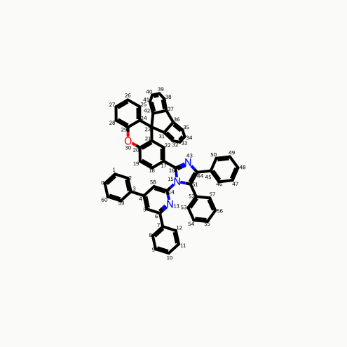 c1ccc(-c2cc(-c3ccccc3)nc(-n3c(-c4ccc5c(c4)C4(c6ccccc6O5)c5ccccc5-c5ccccc54)nc(-c4ccccc4)c3-c3ccccc3)c2)cc1